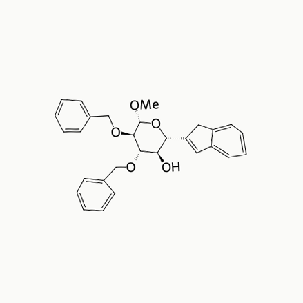 CO[C@@H]1O[C@H](C2=Cc3ccccc3C2)[C@@H](O)[C@H](OCc2ccccc2)[C@H]1OCc1ccccc1